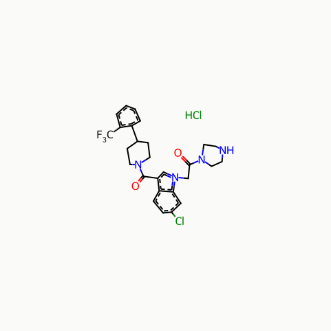 Cl.O=C(Cn1cc(C(=O)N2CCC(c3ccccc3C(F)(F)F)CC2)c2ccc(Cl)cc21)N1CCNCC1